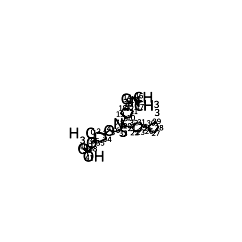 Cc1cc(OCc2nc(-c3ccc(C(=O)N(C)C)cc3)c(-c3ccc(-c4ccccc4)cc3)s2)ccc1OCC(=O)O